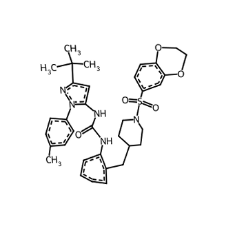 Cc1ccc(-n2nc(C(C)(C)C)cc2NC(=O)Nc2ccccc2CC2CCN(S(=O)(=O)c3ccc4c(c3)OCCO4)CC2)cc1